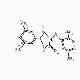 Bc1ccc(C(F)(F)F)cc1CN1C(=O)O[C@H](c2cc(C(F)(F)F)cc(C(F)(F)F)c2)[C@@H]1C